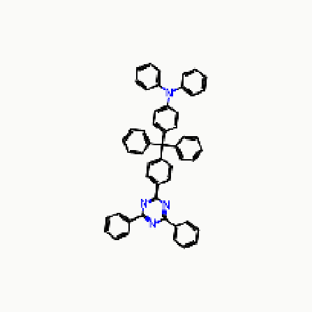 c1ccc(-c2nc(-c3ccccc3)nc(-c3ccc(C(c4ccccc4)(c4ccccc4)c4ccc(N(c5ccccc5)c5ccccc5)cc4)cc3)n2)cc1